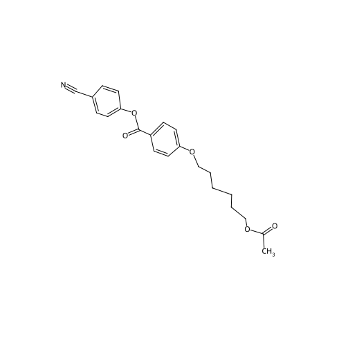 CC(=O)OCCCCCCOc1ccc(C(=O)Oc2ccc(C#N)cc2)cc1